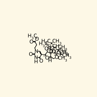 COC(=O)CCn1cc([C@@H]2O[C@@H]3CO[Si](C(C)(C)C)(C(C)(C)C)O[C@@H]3C2O[Si](C)(C)C(C)(C)C)c(=O)[nH]c1=O